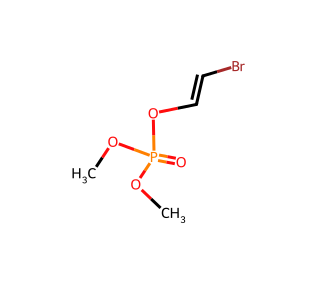 COP(=O)(OC)OC=CBr